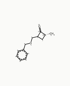 C[C@@H]1CC(COCc2ccccc2)C1=O